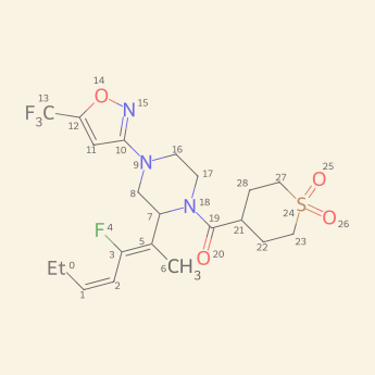 CC/C=C\C(F)=C(/C)C1CN(c2cc(C(F)(F)F)on2)CCN1C(=O)C1CCS(=O)(=O)CC1